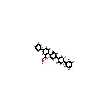 O=CC(=O)c1cc(-c2ccccc2)ccc1-c1ccc(-c2ccc(-c3ccccc3)cc2)cc1